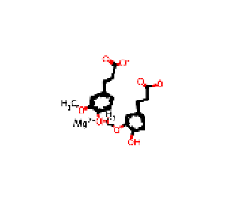 COc1cc(CCC(=O)[O-])ccc1O.COc1cc(CCC(=O)[O-])ccc1O.[Mg+2]